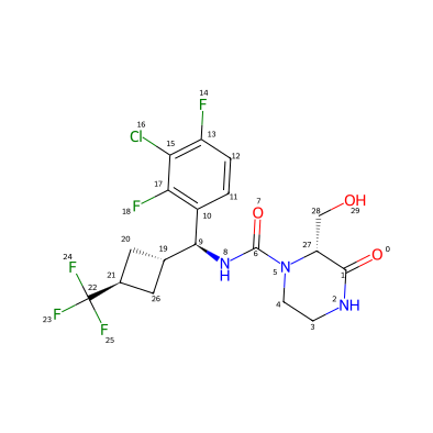 O=C1NCCN(C(=O)N[C@H](c2ccc(F)c(Cl)c2F)[C@H]2C[C@H](C(F)(F)F)C2)[C@@H]1CO